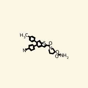 Cc1ccc(-c2cc3sc(C(=O)N4CCC[C@@H](OC(N)=O)C4)cc3cc2-c2ccc(C#N)cc2)cc1